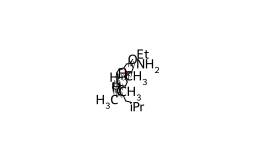 CCC(N)O[C@H]1CC[C@@]2(C)C(=CC[C@H]3[C@@H]4CC[C@H]([C@H](C)CCCC(C)C)[C@@]4(C)CC[C@@H]32)C1